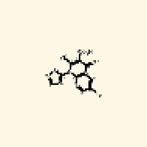 O=C(O)c1c(Cl)n(-c2ncns2)c2ncc(F)cc2c1=O